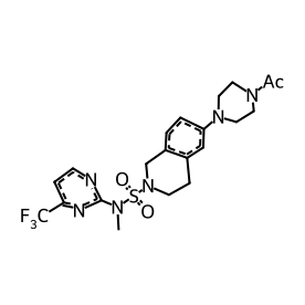 CC(=O)N1CCN(c2ccc3c(c2)CCN(S(=O)(=O)N(C)c2nccc(C(F)(F)F)n2)C3)CC1